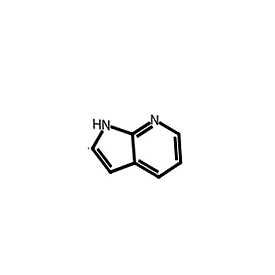 [c]1cc2cccnc2[nH]1